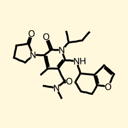 CCC(C)n1c(NC2CCCc3occc32)c(C(=O)N(C)C)c(C)c(N2CCCC2=O)c1=O